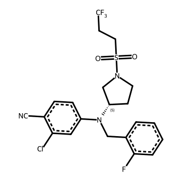 N#Cc1ccc(N(Cc2ccccc2F)[C@H]2CCN(S(=O)(=O)CCC(F)(F)F)C2)cc1Cl